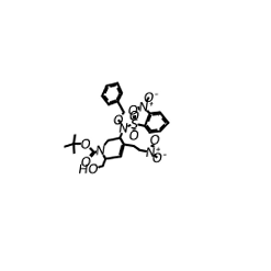 CC(C)(C)OC(=O)N1CC(N(OCc2ccccc2)S(=O)(=O)c2ccccc2[N+](=O)[O-])C(CC[N+](=O)[O-])=CC1CO